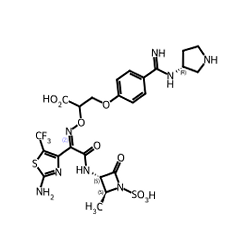 C[C@H]1[C@H](NC(=O)/C(=N\OC(COc2ccc(C(=N)N[C@@H]3CCNC3)cc2)C(=O)O)c2nc(N)sc2C(F)(F)F)C(=O)N1S(=O)(=O)O